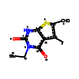 Cc1c(C=O)sc2[nH]c(=O)n(CC(C)(C)C)c(=O)c12